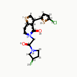 O=C(Cn1ccc2scc(-c3ccc(Cl)s3)c2c1=O)N1CCC(F)C1